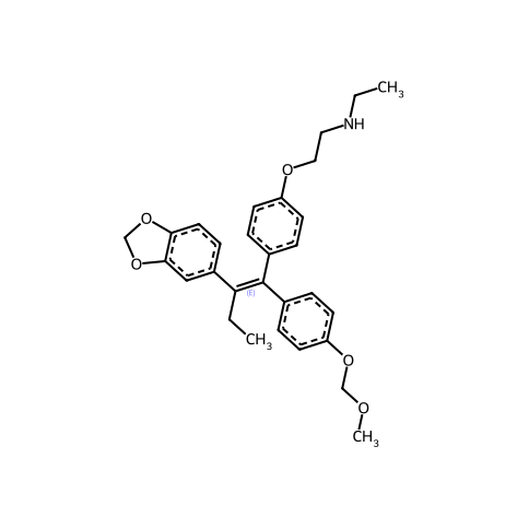 CCNCCOc1ccc(/C(=C(/CC)c2ccc3c(c2)OCO3)c2ccc(OCOC)cc2)cc1